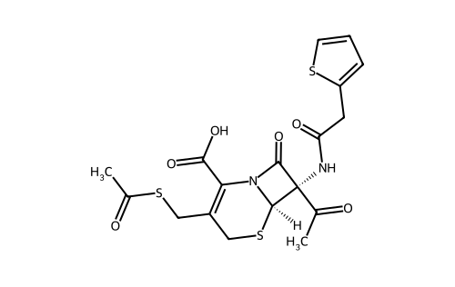 CC(=O)SCC1=C(C(=O)O)N2C(=O)[C@@](NC(=O)Cc3cccs3)(C(C)=O)[C@H]2SC1